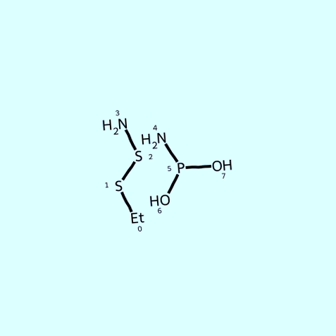 CCSSN.NP(O)O